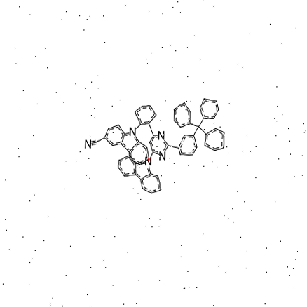 N#Cc1ccc2c(c1)c1ccccc1n2-c1ccccc1-c1cc(-n2c3ccccc3c3ccccc32)nc(-c2cccc(C(c3ccccc3)(c3ccccc3)c3ccccc3)c2)n1